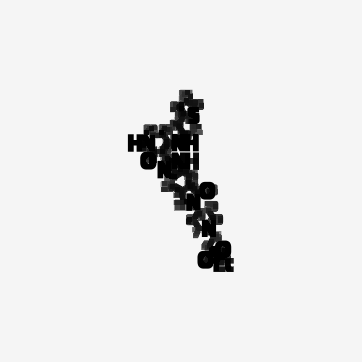 CCS(=O)(=O)CCN1CCC(N2Cc3cc4nc(-c5c(NC(C)Cc6cccs6)cc[nH]c5=O)[nH]c4cc3C2=O)CC1